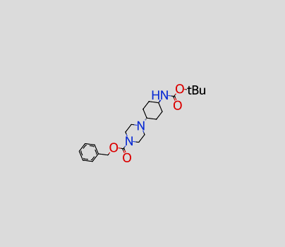 CC(C)(C)OC(=O)N[C@H]1CC[C@H](N2CCN(C(=O)OCc3ccccc3)CC2)CC1